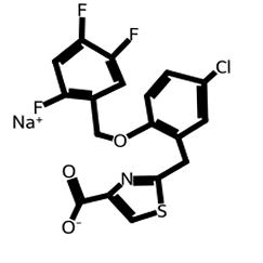 O=C([O-])c1csc(Cc2cc(Cl)ccc2OCc2cc(F)c(F)cc2F)n1.[Na+]